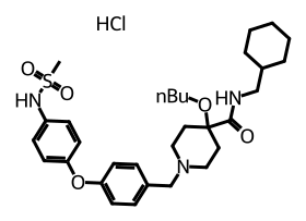 CCCCOC1(C(=O)NCC2CCCCC2)CCN(Cc2ccc(Oc3ccc(NS(C)(=O)=O)cc3)cc2)CC1.Cl